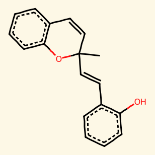 CC1(/C=C/c2ccccc2O)C=Cc2ccccc2O1